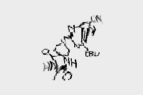 CC1NC(=O)C2(CCN(Cc3nc(CC(C)(C)C)n4nc(C#N)cc4n3)CC2)NC1=O